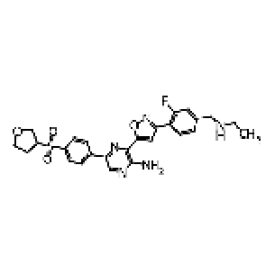 CCNCc1ccc(-c2cc(-c3nc(-c4ccc(S(=O)(=O)C5CCOC5)cc4)cnc3N)on2)c(F)c1